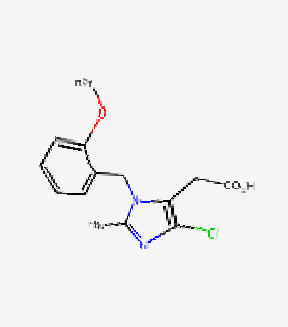 CCCCc1nc(Cl)c(CC(=O)O)n1Cc1ccccc1OCCC